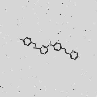 Fc1ccc(CNc2nccc(Nc3ccc(C=Cc4ccccn4)cc3)n2)cc1